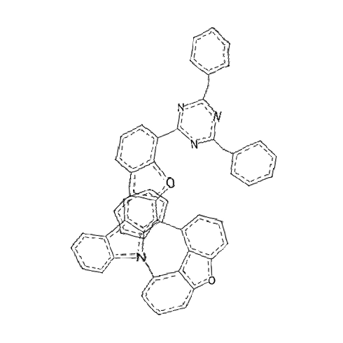 c1ccc(-c2nc(-c3ccccc3)nc(-c3cccc4c3oc3c(-c5cccc6oc7cccc(-n8c9ccccc9c9ccccc98)c7c56)cccc34)n2)cc1